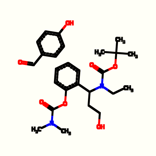 CCN(C(=O)OC(C)(C)C)C(CCO)c1ccccc1OC(=O)N(C)C.O=Cc1ccc(O)cc1